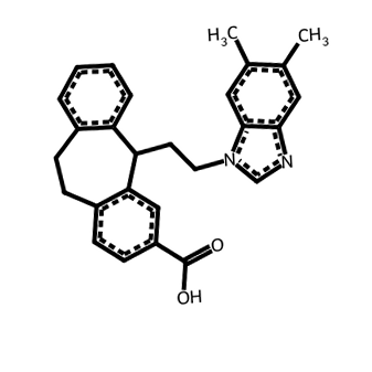 Cc1cc2ncn(CCC3c4ccccc4CCc4ccc(C(=O)O)cc43)c2cc1C